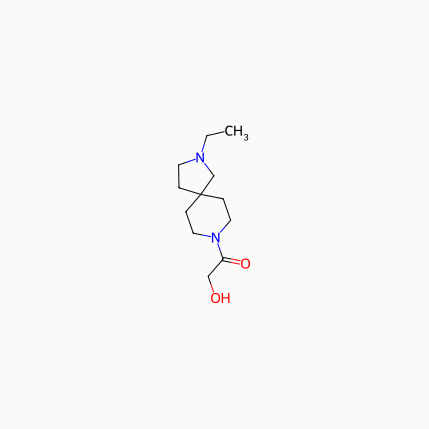 CCN1CCC2(CCN(C(=O)CO)CC2)C1